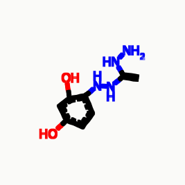 C=C(NN)NNc1ccc(O)cc1O